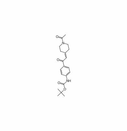 CC(=O)N1CCC(=CC(=O)c2ccc(NC(=O)OC(C)(C)C)cc2)CC1